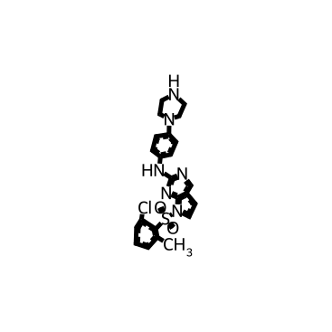 Cc1cccc(Cl)c1S(=O)(=O)n1ccc2cnc(Nc3ccc(N4CCNCC4)cc3)nc21